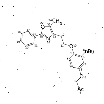 CCCCc1cc(OCC(C)=O)ccc1OCCc1nc(-c2ccccc2)oc1C